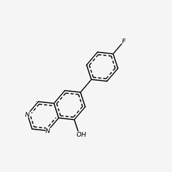 Oc1cc(-c2ccc(F)cc2)cc2[c]ncnc12